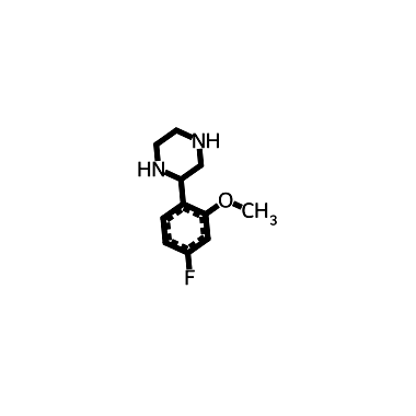 COc1cc(F)ccc1C1CNCCN1